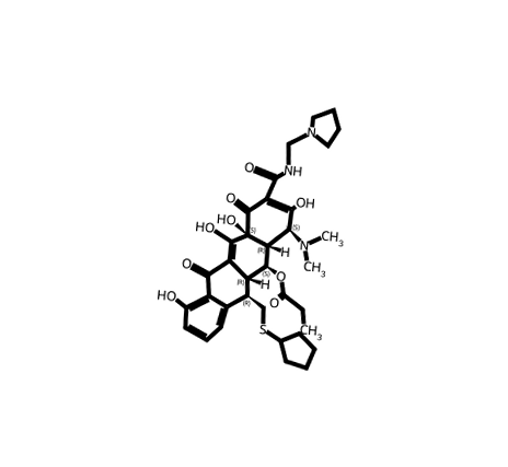 CCC(=O)O[C@H]1[C@H]2C(=C(O)[C@]3(O)C(=O)C(C(=O)NCN4CCCC4)=C(O)[C@@H](N(C)C)[C@H]13)C(=O)c1c(O)cccc1[C@@H]2CSC1CCCC1